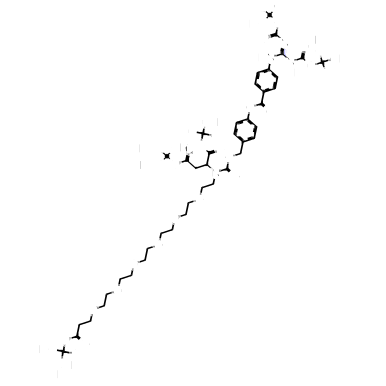 CC(C)(C)OC(=O)CCOCCOCCOCCOCCOCCOCCN(C(=O)OCc1ccc(OC(=O)c2ccc(N/C(=N\C(=O)OC(C)(C)C)NC(=O)OC(C)(C)C)cc2)cc1)C(CC(=O)OC(C)(C)C)C(=O)OC(C)(C)C